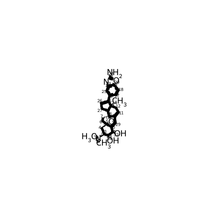 CN(C)[C@H]1C[C@@]23CC[C@@]4(O2)C(=CC[C@]2(C)C(c5ccc6oc(N)nc6c5)=CCC24)C=C3[C@@H](O)[C@@H]1O